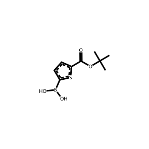 CC(C)(C)OC(=O)c1ccc(B(O)O)s1